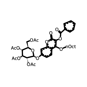 CCCCCCCCOc1c(OC(=O)c2ccccc2)c(=O)oc2cc(O[C@@H]3O[C@H](COC(C)=O)[C@@H](OC(C)=O)[C@H](OC(C)=O)[C@H]3OC(C)=O)ccc12